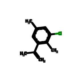 C=C(C)c1cc(C)cc(Cl)c1C